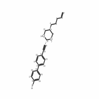 C=CCCC[C@H]1CO[C@H](C#Cc2ccc(-c3ccc(F)cc3)cc2)OC1